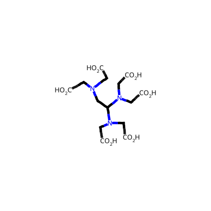 O=C(O)CN(CC(=O)O)CC(N(CC(=O)O)CC(=O)O)N(CC(=O)O)CC(=O)O